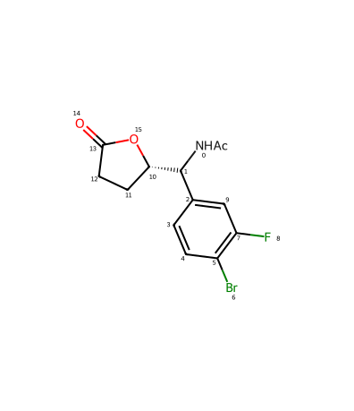 CC(=O)NC(c1ccc(Br)c(F)c1)[C@@H]1CCC(=O)O1